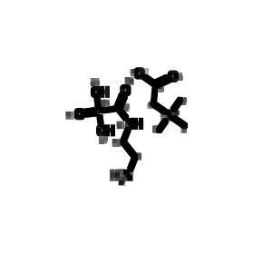 C[N+](C)(C)CC(=O)[O-].NCCNC(=O)P(=O)(O)O